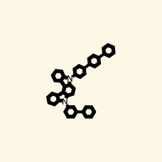 c1ccc(-c2ccc(-c3ccc(-n4c5ccccc5c5c6c7ccccc7n(-c7cccc(-c8ccccc8)c7)c6ccc54)cc3)cc2)cc1